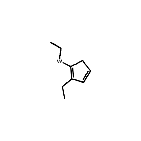 C[CH2][W][C]1=C(CC)C=CC1